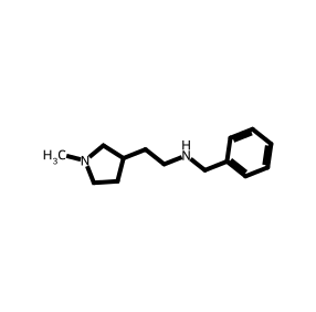 CN1CCC(CCNCc2ccccc2)C1